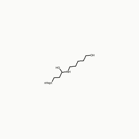 CCCCCCCCCC(O)NCCCCCO